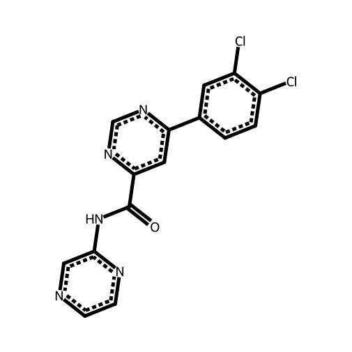 O=C(Nc1cnccn1)c1cc(-c2ccc(Cl)c(Cl)c2)ncn1